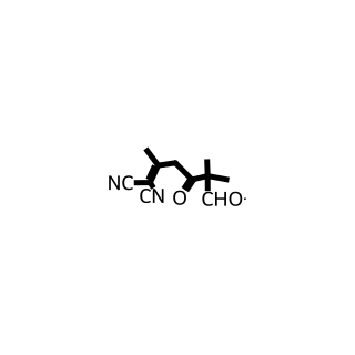 CC(CC(=O)C(C)(C)[C]=O)=C(C#N)C#N